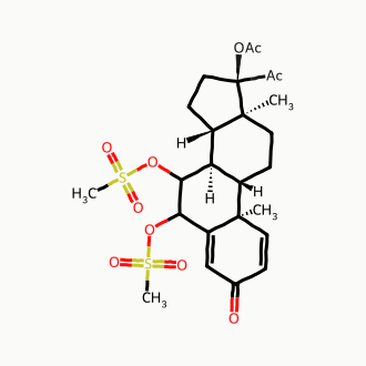 CC(=O)O[C@]1(C(C)=O)CC[C@H]2[C@@H]3C(OS(C)(=O)=O)C(OS(C)(=O)=O)C4=CC(=O)C=C[C@]4(C)[C@H]3CC[C@@]21C